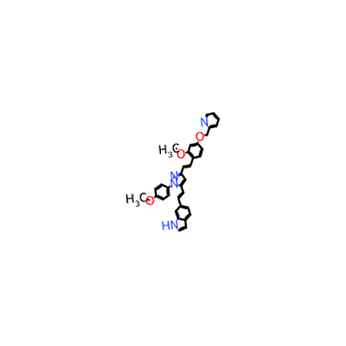 COc1ccc(-n2nc(/C=C/c3ccc(OCc4ccccn4)cc3OC)cc2/C=C/c2ccc3cc[nH]c3c2)cc1